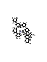 Cc1ccc2ccc3c(-c4ccc(-c5cccc(-c6cc(-c7ccccc7)nc(-c7cccc(-c8ccccc8/C=C\N)c7)n6)c5)cc4)cc(C)nc3c2n1